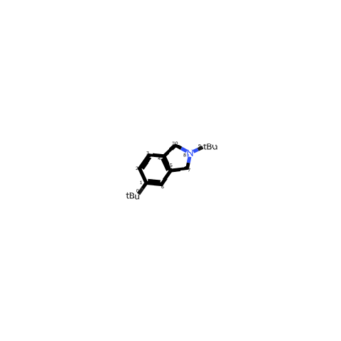 CC(C)(C)c1ccc2c(c1)CN(C(C)(C)C)C2